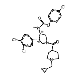 CN(C(=O)Oc1ccc(Cl)cc1)[C@H]1CN(C(=O)C2CCN(CC3CC3)CC2)C[C@@H]1c1ccc(Cl)c(Cl)c1